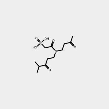 CC(=O)CCN(CCC(=O)C(C)C)C(=O)CP(=O)(O)O